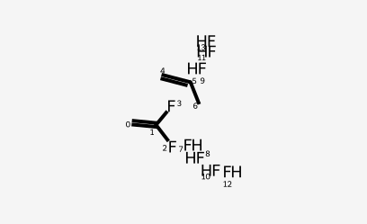 C=C(F)F.C=CC.F.F.F.F.F.F.F